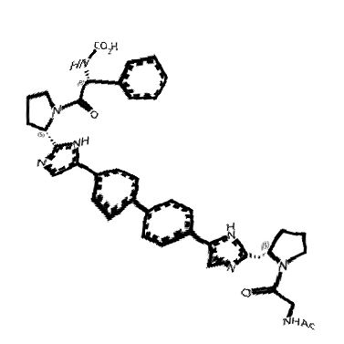 CC(=O)NCC(=O)N1CCC[C@H]1c1ncc(-c2ccc(-c3ccc(-c4cnc([C@@H]5CCCN5C(=O)[C@H](NC(=O)O)c5ccccc5)[nH]4)cc3)cc2)[nH]1